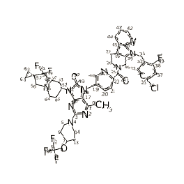 Cc1nc(N2CCC(OC(F)(F)F)CC2)nc2c1n(-c1ccc(C(=O)N3CCc4c(n(Cc5ccc(Cl)cc5F)c5ncccc45)C3)nc1)c(=O)n2C1CCN(CC2(C(F)(F)F)CC2)CC1